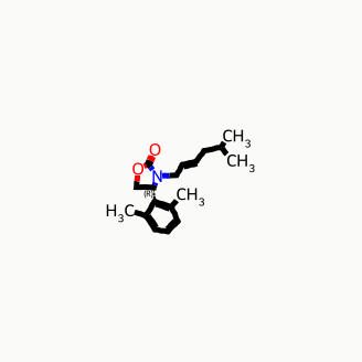 Cc1cccc(C)c1[C@@H]1COC(=O)N1CC=CCC(C)C